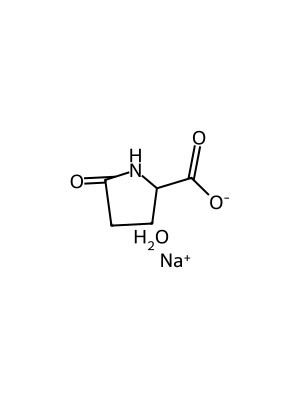 O.O=C1CCC(C(=O)[O-])N1.[Na+]